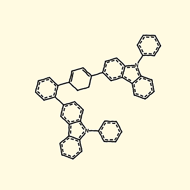 C1=C(c2ccc3c(c2)c2ccccc2n3-c2ccccc2)CCC(c2ccccc2-c2ccc3c(c2)c2ccccc2n3-c2ccccc2)=C1